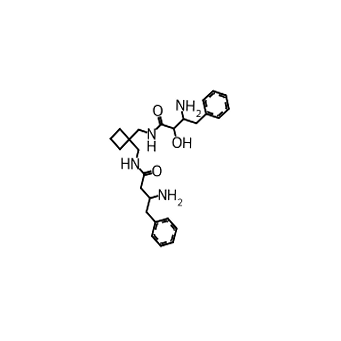 NC(CC(=O)NCC1(CNC(=O)C(O)C(N)Cc2ccccc2)CCC1)Cc1ccccc1